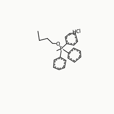 CCCCOP(C)(c1ccccc1)(c1ccccc1)c1ccccc1.Cl